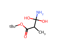 CC(C(=O)OC(C)(C)C)C(N)(O)O